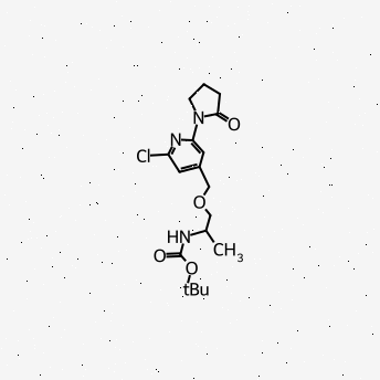 CC(COCc1cc(Cl)nc(N2CCCC2=O)c1)NC(=O)OC(C)(C)C